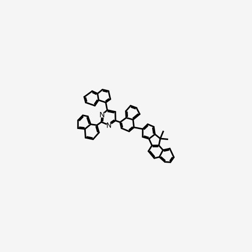 CC1(C)c2ccc(-c3ccc(-c4cc(-c5cccc6ccccc56)nc(-c5cccc6ccccc56)n4)c4ccccc34)cc2-c2ccc3ccccc3c21